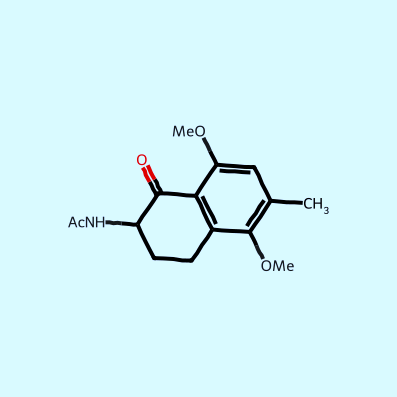 COc1cc(C)c(OC)c2c1C(=O)C(NC(C)=O)CC2